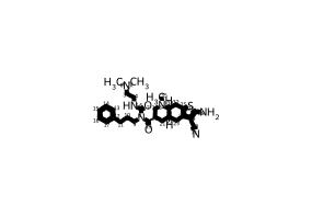 CN(C)CCNC(=O)N(CCCc1ccccc1)C(=O)[C@@H]1C[C@@H]2Cc3c(sc(N)c3C#N)C[C@H]2N(C)C1